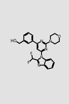 OCc1cccc(-c2cc(-n3c(C(F)F)nc4ccccc43)nc(N3CCOCC3)n2)c1